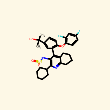 CC(C)(O)c1ccc(Oc2ccc(F)cc2F)c(-c2c3c(nc(C4CCCCC4)c2N[SH](=O)=O)CCCC3)c1